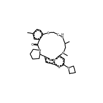 Cc1ccc2c(c1)C(=O)N1CCCCC1c1cc3nc(N4CCC4)cc(n3n1)N(C)CC(C)NCCO2